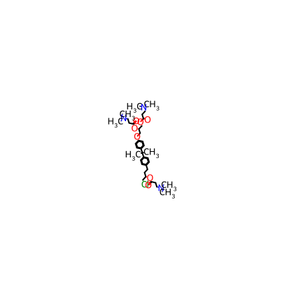 CN(C)CCC(=O)OCC(COc1ccc(C(C)(C)c2ccc(CCC(CCl)OC(=O)CCN(C)C)cc2)cc1)OC(=O)CCN(C)C